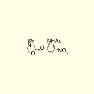 CC(=O)Nc1cc([N+](=O)[O-])ccc1OC=C1CN(C(C)C)CCO1